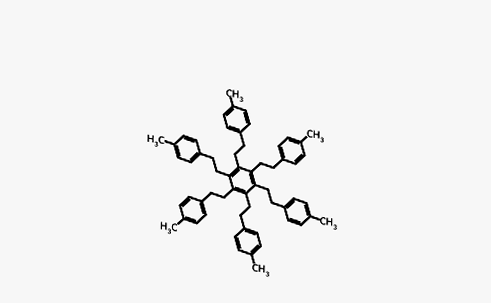 Cc1ccc(CCc2c(CCc3ccc(C)cc3)c(CCc3ccc(C)cc3)c(CCc3ccc(C)cc3)c(CCc3ccc(C)cc3)c2CCc2ccc(C)cc2)cc1